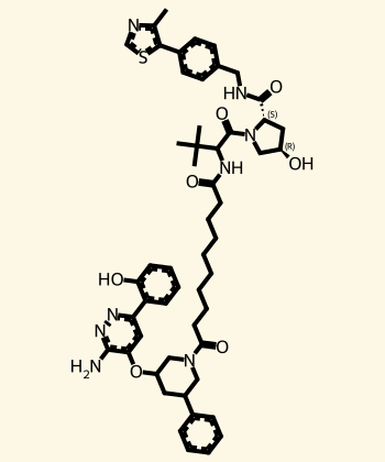 Cc1ncsc1-c1ccc(CNC(=O)[C@@H]2C[C@@H](O)CN2C(=O)C(NC(=O)CCCCCCCCC(=O)N2CC(Oc3cc(-c4ccccc4O)nnc3N)CC(c3ccccc3)C2)C(C)(C)C)cc1